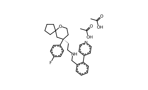 CC(=O)O.CC(=O)O.Fc1ccc([C@]2(CCNCc3ccccc3-c3ccncc3)CCOC3(CCCC3)C2)cc1